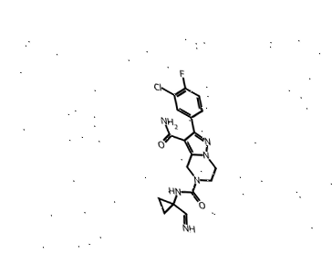 N=CC1(NC(=O)N2CCn3nc(-c4ccc(F)c(Cl)c4)c(C(N)=O)c3C2)CC1